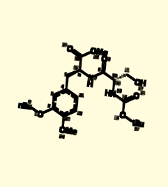 CCCCOc1cc(C[C@H](NC(=O)[C@H](CO)NC(=O)OC(C)(C)C)C(=O)OC)ccc1OC